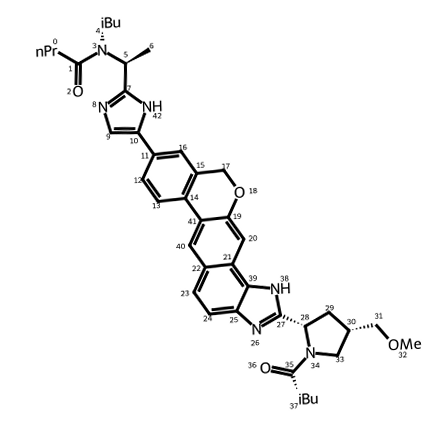 CCCC(=O)N([C@@H](C)CC)[C@@H](C)c1ncc(-c2ccc3c(c2)COc2cc4c(ccc5nc([C@@H]6C[C@H](COC)CN6C(=O)[C@@H](C)CC)[nH]c54)cc2-3)[nH]1